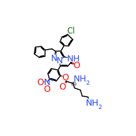 NCCCC[C@H](N)C(=O)Oc1cc([N+](=O)[O-])ccc1-c1cc(=O)[nH]c2c(-c3ccc(Cl)cc3)c(Cc3ccccc3)nn12